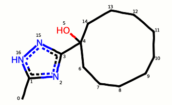 Cc1nc(C2(O)CCCCCCCCC2)n[nH]1